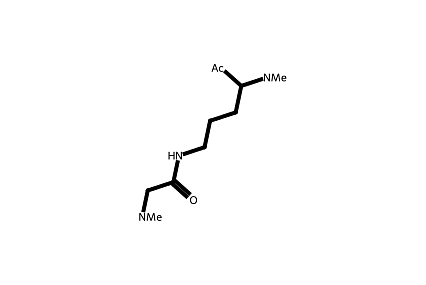 CNCC(=O)NCCCC(NC)C(C)=O